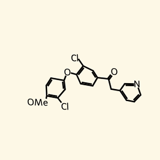 COc1ccc(Oc2ccc(C(=O)Cc3cccnc3)cc2Cl)cc1Cl